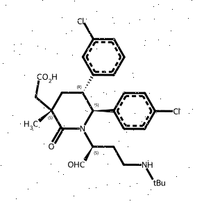 CC(C)(C)NCC[C@@H](C=O)N1C(=O)[C@](C)(CC(=O)O)C[C@H](c2cccc(Cl)c2)[C@H]1c1ccc(Cl)cc1